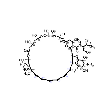 CC(C)[C@@H](CO)NC(=O)[C@H]1[C@@H]2C[C@@H](O[C@@H]3O[C@H](C)[C@@H](O)[C@H](N)[C@@H]3O)/C=C/C=C/C=C/C=C/C=C/C=C/C=C/[C@H](C)[C@@H](O)[C@@H](C)[C@H](C)OC(=O)C[C@H](O)C[C@H](O)CC[C@@H](O)[C@H](O)C[C@H](O)C[C@](O)(C[C@@H]1O)O2